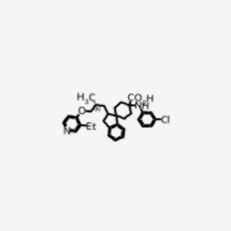 CCc1cnccc1OC[C@H](C)CC1Cc2ccccc2C12CCC(Nc1cccc(Cl)c1)(C(=O)O)CC2